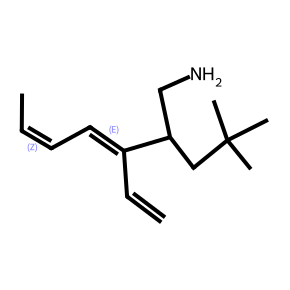 C=C/C(=C\C=C/C)C(CN)CC(C)(C)C